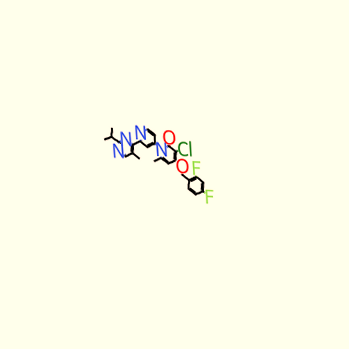 Cc1cnc(C(C)C)nc1-c1cc(-n2c(C)cc(OCc3ccc(F)cc3F)c(Cl)c2=O)ccn1